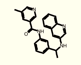 Cc1cncc(C(=O)Nc2cccc(C(C)Nc3cnc4ccccc4c3)c2)c1